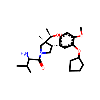 COc1ccc([C@@H]2CN(C(=O)[C@H](N)C(C)C)C[C@@]2(C)[C@@H](C)O)cc1OC1CCCC1